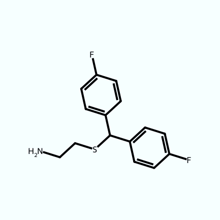 NCCSC(c1ccc(F)cc1)c1ccc(F)cc1